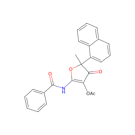 CC(=O)OC1=C(NC(=O)c2ccccc2)OC(C)(c2cccc3ccccc23)C1=O